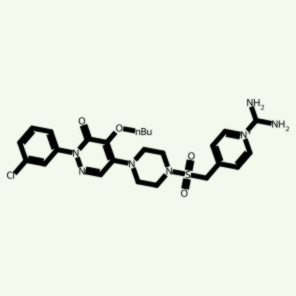 CCCCOc1c(N2CCN(S(=O)(=O)Cc3cc[n+](C(N)N)cc3)CC2)cnn(-c2cccc(Cl)c2)c1=O